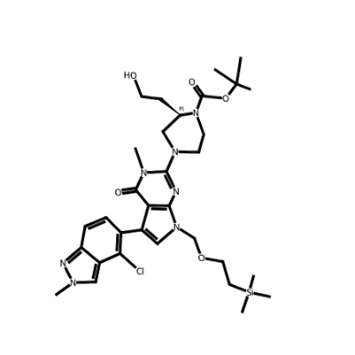 Cn1cc2c(Cl)c(-c3cn(COCC[Si](C)(C)C)c4nc(N5CCN(C(=O)OC(C)(C)C)[C@H](CCO)C5)n(C)c(=O)c34)ccc2n1